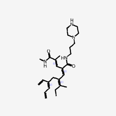 C=C/C=C(\C=C)CC(/C=C(\C=C(/C)C(=O)NC)C(=O)NCCCN1CCNCC1)=C(/C)CC